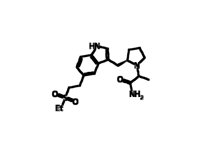 CCS(=O)(=O)CCc1ccc2[nH]cc(C[C@H]3CCCN3C(C)C(N)=O)c2c1